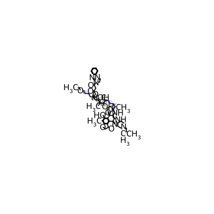 CCO/C=C/CC[C@H](C[C@H](O)[C@H](C)[C@@H](O)[C@@H](C)/C=C/C=C(/C)C(=O)NC1=C2NC3(CCN(CC(C)C)CC3)N=C2c2c(c(O)c(C)c3c2C(=O)CO3)C1=O)OC(=O)CC(=O)N1CCn2c1nc1ccccc12